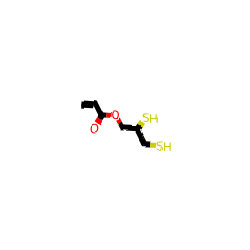 C=CC(=O)OCC(S)CS